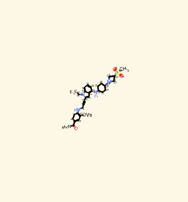 CNC(=O)c1ccc(NCC#Cc2cc3c(NC4CCC(N5CC(S(C)(=O)=O)C5)CC4)cccc3n2CC(F)(F)F)c(OC)c1